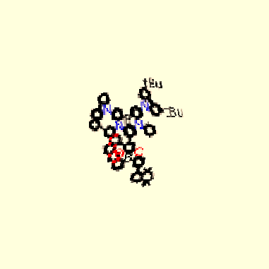 CC(C)(C)c1ccc2c(c1)c1cc(C(C)(C)C)ccc1n2-c1ccc2c(c1)N(c1ccccc1)c1cc(-c3cc4c5c(c3-c3ccccc3-c3ccccc3)Oc3ccccc3B5c3cc(-c5cccc6c5C(C)(C)CCC6(C)C)ccc3O4)cc3c1B2c1ccc(-n2c4ccccc4c4ccccc42)cc1N3c1cc(-c2ccccc2)cc(-c2ccccc2)c1